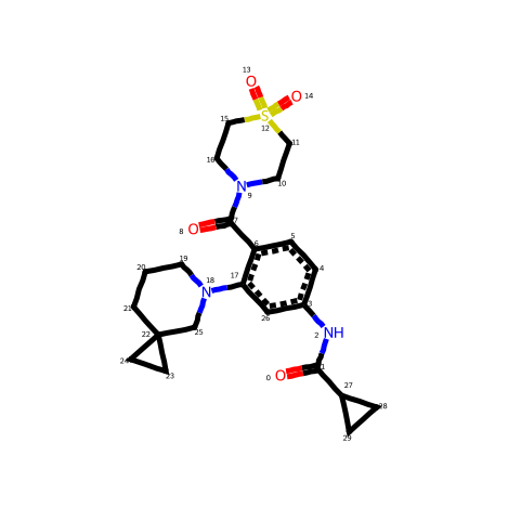 O=C(Nc1ccc(C(=O)N2CCS(=O)(=O)CC2)c(N2CCCC3(CC3)C2)c1)C1CC1